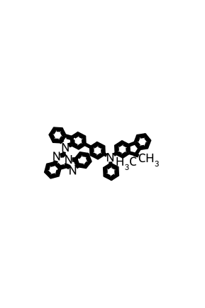 CC1(C)c2ccccc2-c2ccc(N(c3ccccc3)c3ccc(-c4ccc5c6ccccc6n(-c6nc7ccccc7c7nc8ccccc8n67)c5c4)cc3)cc21